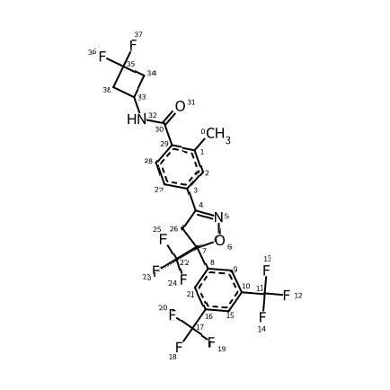 Cc1cc(C2=NOC(c3cc(C(F)(F)F)cc(C(F)(F)F)c3)(C(F)(F)F)C2)ccc1C(=O)NC1CC(F)(F)C1